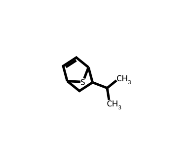 CC(C)C1CC2C=CC1S2